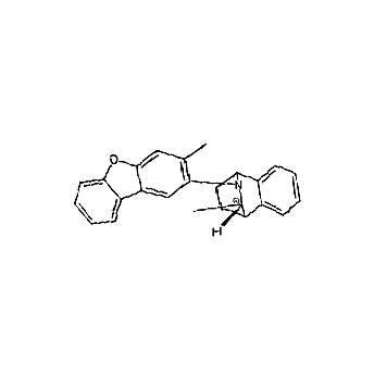 Cc1cc2oc3ccccc3c2cc1N1C2CCC(c3ccccc32)[C@@H]1C